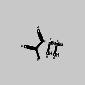 CC(=O)C=O.CCCCO.CCCCO